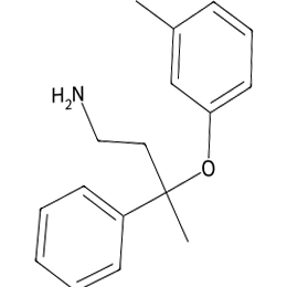 Cc1cccc(OC(C)(CCN)c2ccccc2)c1